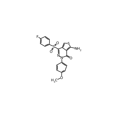 COc1ccc(-n2nc(S(=O)(=O)c3ccc(F)cc3)c3csc(N)c3c2=O)cc1